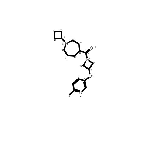 Cc1ccc(OC2CN(C(=O)C3CCCN(C4CCC4)CC3)C2)cn1